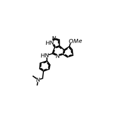 COc1cccc2nc(Nc3ccc(CN(C)C)cc3)c3[nH]ncc3c12